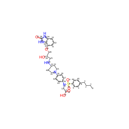 CCCCc1ccc(S(=O)(=O)N(CC(=O)O)c2ccc(N3CCC(NC[C@H](O)COc4cccc5[nH]c(=O)[nH]c45)CC3)cc2)cc1